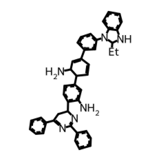 CCC1Nc2ccccc2N1c1cccc(C2=CC(N)C(c3ccc(C4CC(c5ccccc5)=NC(c5ccccc5)=N4)c(N)c3)C=C2)c1